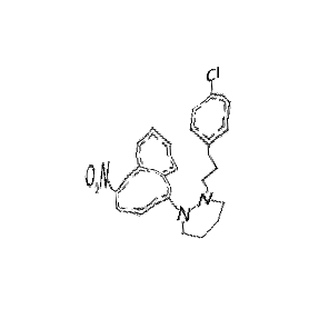 O=[N+]([O-])c1ccc(N2CCCCN2CCc2ccc(Cl)cc2)c2ccccc12